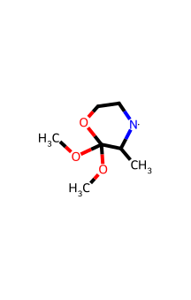 COC1(OC)OCC[N]C1C